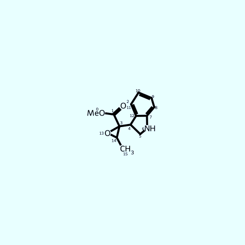 COC(=O)C1(C2CNc3ccccc32)OC1C